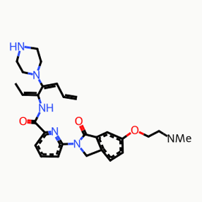 C=C/C=C(\C(=C/C)NC(=O)c1cccc(N2Cc3ccc(OCCNC)cc3C2=O)n1)N1CCNCC1